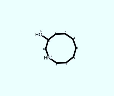 OC1CCCCCCCNC1